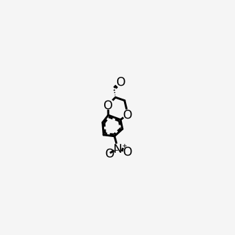 O=C[C@@H]1COc2cc([N+](=O)[O-])ccc2O1